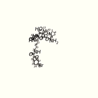 C[C@@H](C(=O)N1CCC[C@H]1C(N)=O)N(C)C(=O)[C@H](CO)NC(=O)[C@H](CCCCNC(=O)c1cc2ccc(Br)cc2o1)NS(C)(=O)=O